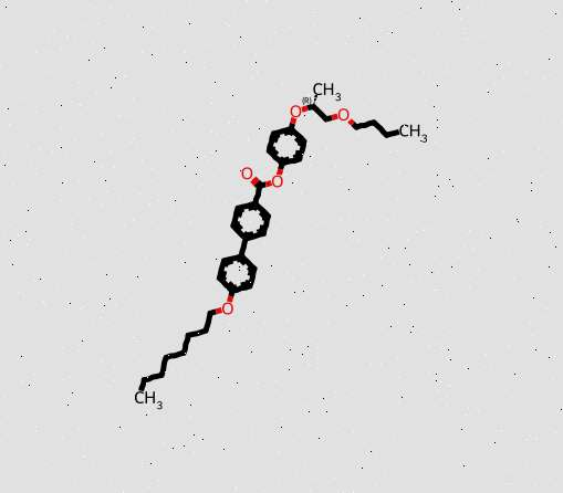 CCCCCCCCOc1ccc(-c2ccc(C(=O)Oc3ccc(O[C@H](C)COCCCC)cc3)cc2)cc1